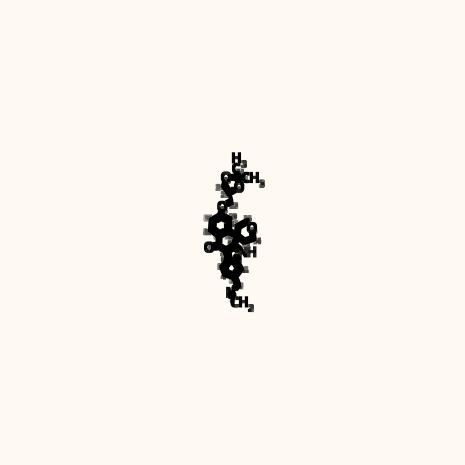 C=NCc1ccc2c3c([nH]c2c1)C1(CCOCC1)c1cc(OC[C@H]2COC(C)(C)O2)ccc1C3=O